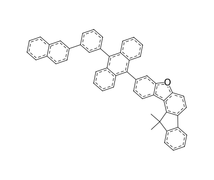 CC1(C)c2ccccc2-c2ccc3oc4cc(-c5c6ccccc6c(-c6cccc(-c7ccc8ccccc8c7)c6)c6ccccc56)ccc4c3c21